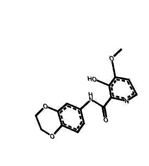 COc1ccnc(C(=O)Nc2ccc3c(c2)OCCO3)c1O